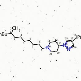 CCCCC(C)CCCCCCCN1CCC(n2cc(C(C)C)cn2)CC1